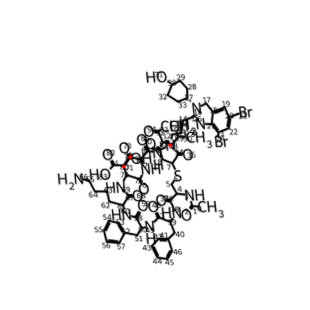 CC(=O)NC(CSC1CC(=O)N(CCCCN(Cc2cc(Br)cc(Br)c2N)[C@H]2CC[C@H](O)CC2)C1=O)C(=O)NC(Cc1ccccc1)C(=O)NC(Cc1ccccc1)C(=O)NC(CCCCN)C(=O)NC(CC(=O)O)C(=O)NC(CCC(=O)O)C(=O)NC(CC(C)C)C(C)=O